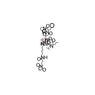 CC[C@H](C)[C@@H]([C@@H](CC(=O)N1CCC[C@H]1[C@H](OC)[C@@H](C)C(=O)N[C@H](C(=O)N1CCCCO1)[C@@H](C)c1ccccc1)OC)N(C)[C@H](C(=O)NC(=O)[C@H](C(C)C)N(C)CCCCCCNC(=O)CCCN1C(=O)C=CC1=O)C(C)C